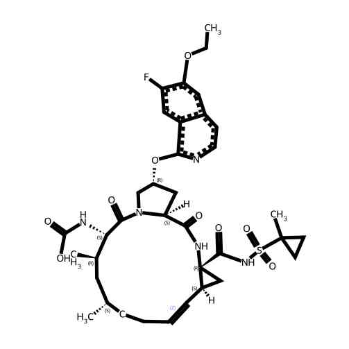 CCOc1cc2ccnc(O[C@@H]3C[C@H]4C(=O)N[C@]5(C(=O)NS(=O)(=O)C6(C)CC6)C[C@H]5/C=C\CC[C@H](C)C[C@@H](C)[C@H](NC(=O)O)C(=O)N4C3)c2cc1F